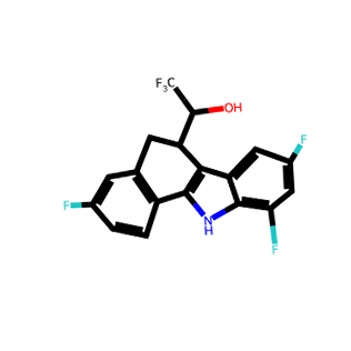 OC(C1Cc2cc(F)ccc2-c2[nH]c3c(F)cc(F)cc3c21)C(F)(F)F